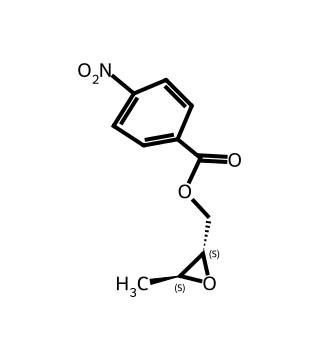 C[C@@H]1O[C@H]1COC(=O)c1ccc([N+](=O)[O-])cc1